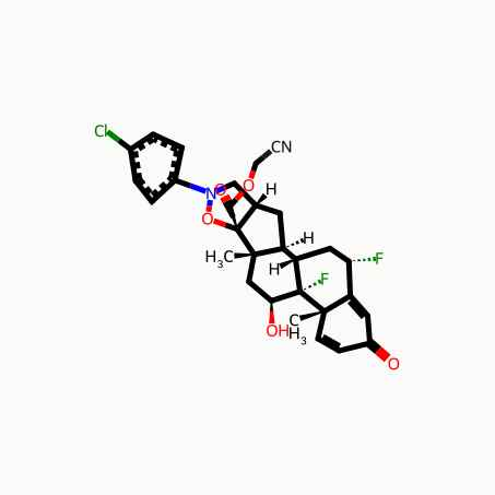 C[C@]12C=CC(=O)C=C1[C@@H](F)C[C@H]1[C@@H]3C[C@H]4CN(c5ccc(Cl)cc5)O[C@@]4(C(=O)OCC#N)[C@@]3(C)C[C@H](O)[C@@]12F